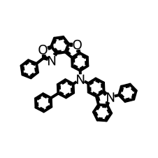 c1ccc(-c2ccc(N(c3ccc4oc5ccc6oc(-c7ccccc7)nc6c5c4c3)c3ccc4c(c3)c3ccccc3n4-c3ccccc3)cc2)cc1